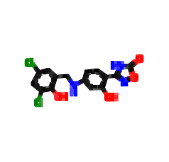 O=c1[nH]c(-c2ccc(NCc3cc(Cl)cc(Cl)c3O)cc2O)no1